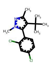 Cc1nn(C)c(-c2ccc(Cl)cc2Cl)c1C(C)(C)C